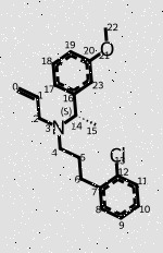 C=CCN(CCCc1ccccc1Cl)[C@@H](C)c1cccc(OC)c1